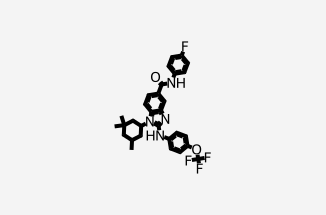 CC1CC(n2c(Nc3ccc(OC(F)(F)F)cc3)nc3cc(C(=O)Nc4ccc(F)cc4)ccc32)CC(C)(C)C1